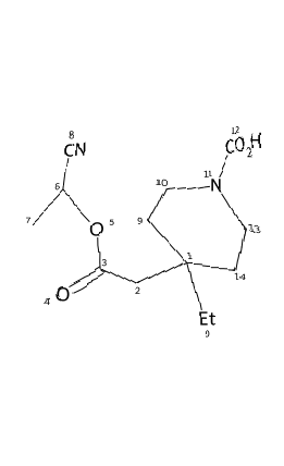 CCC1(CC(=O)OC(C)C#N)CCN(C(=O)O)CC1